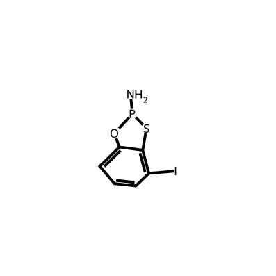 NP1Oc2cccc(I)c2S1